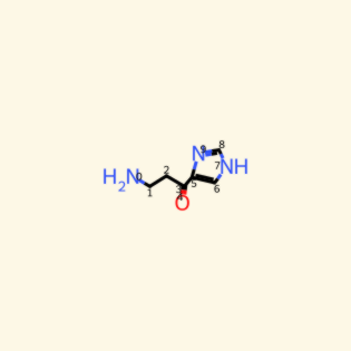 NCCC(=O)c1c[nH]cn1